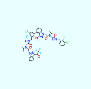 CC(=O)c1nn(CC(=O)N(CC(=O)NCc2cccc(Cl)c2F)C(C)C)c2cccc(-c3cc(Cl)c(F)c(CNC(=O)CN(C(=O)Cn4nc(C(=O)C(F)(F)F)c5ccccc54)C(C)C)c3)c12